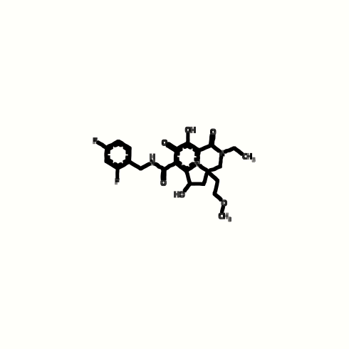 CCN1CC2(CCOC)CC(O)c3c(C(=O)NCc4ccc(F)cc4F)c(=O)c(O)c(n32)C1=O